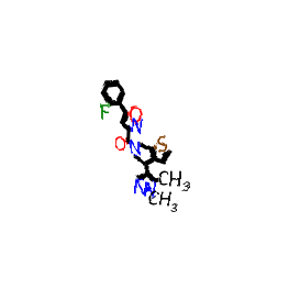 Cc1c(C2CN(C(=O)c3cc(-c4ccccc4F)on3)Cc3sccc32)cnn1C